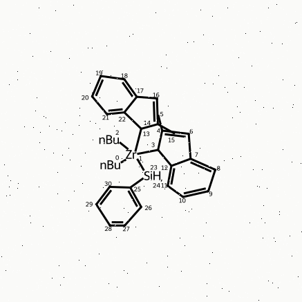 CCC[CH2][Zr]([CH2]CCC)([CH]1C(C)=Cc2ccccc21)([CH]1C(C)=Cc2ccccc21)[SiH](C)c1ccccc1